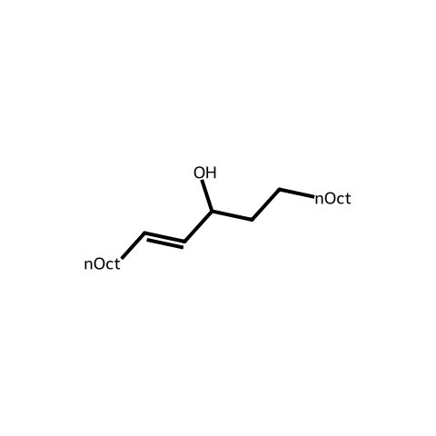 CCCCCCCCC=CC(O)CCCCCCCCCC